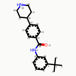 CC(C)(C)c1cccc(NC(=O)c2ccc(C3CCNCC3)cc2)c1